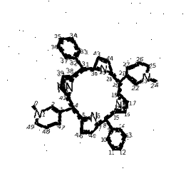 CN1C=C(c2c3nc(c(-c4ccccc4)c4ccc([nH]4)c(C4=CN(C)CC=C4)c4nc(c(-c5ccccc5)c5ccc2[nH]5)C=C4)C=C3)C=CC1